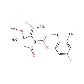 C=C/C(Oc1cc(F)cc(C#N)c1)=C1/C(=O)CC(C)(OCCC)/C1=C(/C)Br